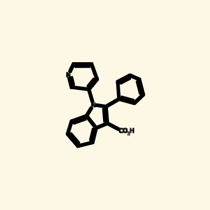 O=C(O)c1c(-c2ccccc2)n(-c2cccnc2)c2ccccc12